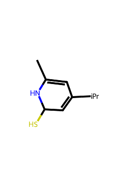 CC1=CC(C(C)C)=CC(S)N1